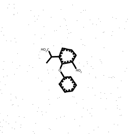 CC(C(=O)O)c1cccc([N+](=O)[O-])c1Oc1ccccc1